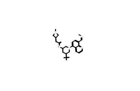 C/N=C\c1ccc(N2CC(NC(=O)CC3CN(C)C3)CC(C(F)(F)F)C2)c2cccnc12